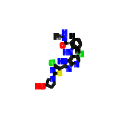 CC(C)NC(=O)[C@@H]1[C@H](Nc2c(Cl)cnc3nc(-c4sc(N5CC[C@@H](O)C5)nc4Cl)[nH]c23)[C@H]2C=C[C@@H]1C2